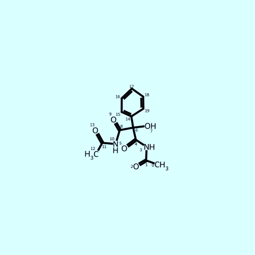 CC(=O)NC(=O)C(O)(C(=O)NC(C)=O)c1ccccc1